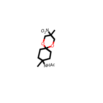 CC(=O)NC1(C)CCC2(CC1)OCC(C)([N+](=O)[O-])CO2